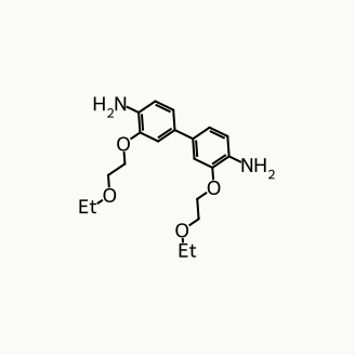 CCOCCOc1cc(-c2ccc(N)c(OCCOCC)c2)ccc1N